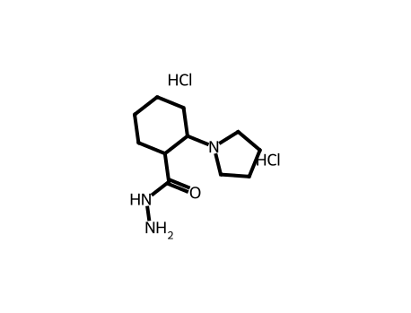 Cl.Cl.NNC(=O)C1CCCCC1N1CCCC1